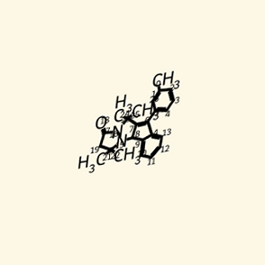 Cc1cccc(C2=C3C(c4ccccc42)N2N(C(=O)CC2(C)C)C3(C)C)c1